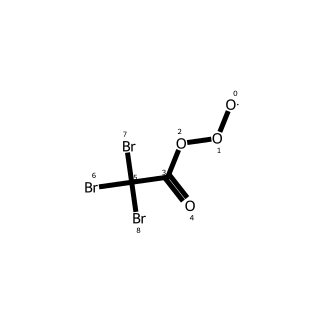 [O]OOC(=O)C(Br)(Br)Br